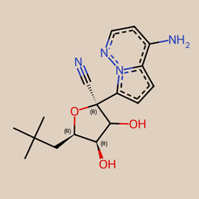 CC(C)(C)C[C@H]1O[C@@](C#N)(c2ccc3c(N)ccnn23)C(O)[C@H]1O